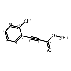 CC(C)(C)OC(=O)C#Cc1ccccc1Cl